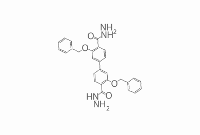 NNC(=O)c1ccc(-c2ccc(C(=O)NN)c(OCc3ccccc3)c2)cc1OCc1ccccc1